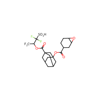 O=C(OC12CC3CC(C1)CC(C(=O)OC(C(F)(F)F)C(F)(F)S(=O)(=O)O)(C3)C2)C1CCC2OC2C1